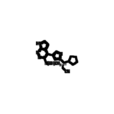 CN(O)c1nnc2[nH]ccc2c1-c1cnn([C@@H](CC#N)C2CCCC2)c1